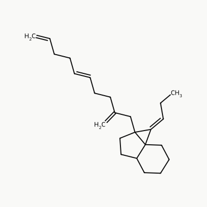 C=CCC/C=C/CCC(=C)CC12CCC3CCCCC31/C2=C/CC